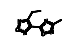 CCc1nonc1-c1nc(C)no1